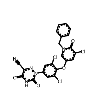 N#Cc1nn(-c2cc(Cl)c(Oc3cc(Cl)c(=O)n(Cc4ccccc4)c3)c(Cl)c2)c(=O)[nH]c1=O